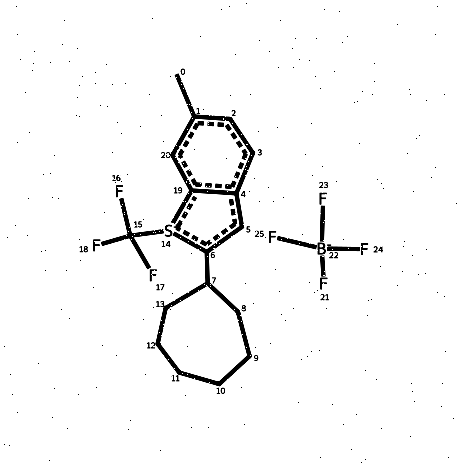 Cc1ccc2cc(C3CCCCCC3)[s+](C(F)(F)F)c2c1.F[B-](F)(F)F